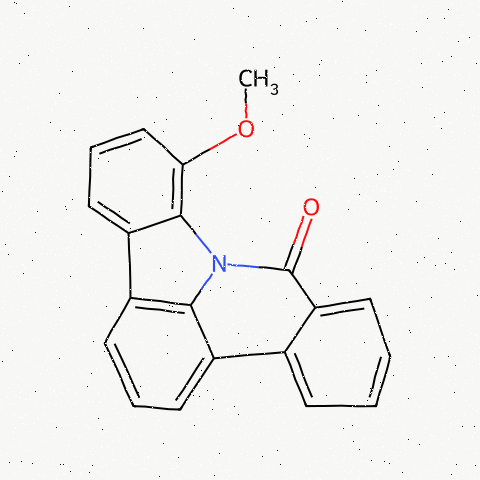 COc1cccc2c3cccc4c5ccccc5c(=O)n(c12)c43